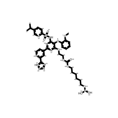 COc1ccccc1Oc1c(NS(=O)(=O)c2ccc(C(C)C)cn2)nc(-c2ccnc(-c3nnn[nH]3)c2)nc1OCCOC(=O)OCCCCCCON(O)O